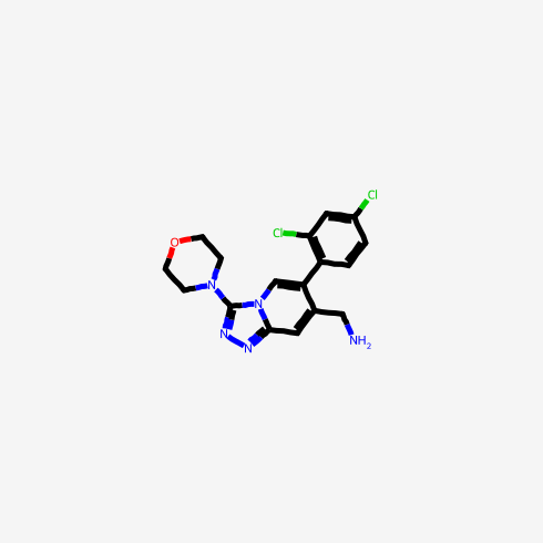 NCc1cc2nnc(N3CCOCC3)n2cc1-c1ccc(Cl)cc1Cl